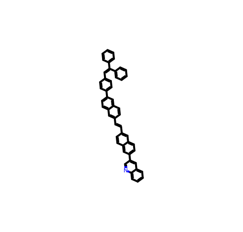 C(=C(c1ccccc1)c1ccccc1)c1ccc(-c2ccc3cc(/C=C/c4ccc5cc(-c6cnc7ccccc7c6)ccc5c4)ccc3c2)cc1